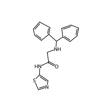 O=C(CNC(c1ccccc1)c1ccccc1)Nc1cncs1